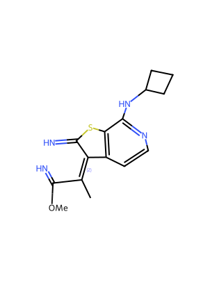 COC(=N)/C(C)=C1\C(=N)Sc2c1ccnc2NC1CCC1